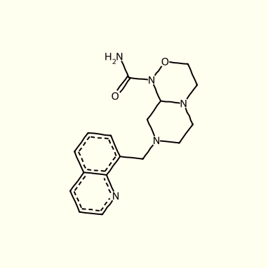 NC(=O)N1OCCN2CCN(Cc3cccc4cccnc34)CC21